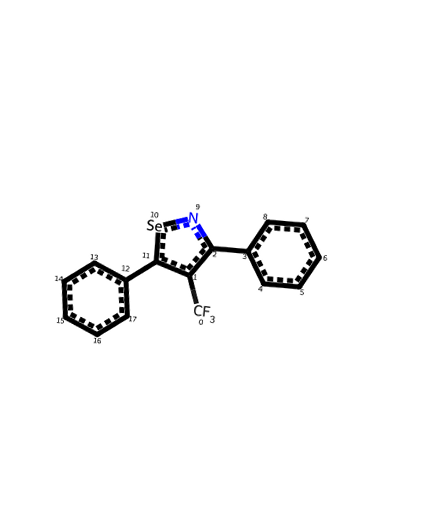 FC(F)(F)c1c(-c2ccccc2)n[se]c1-c1ccccc1